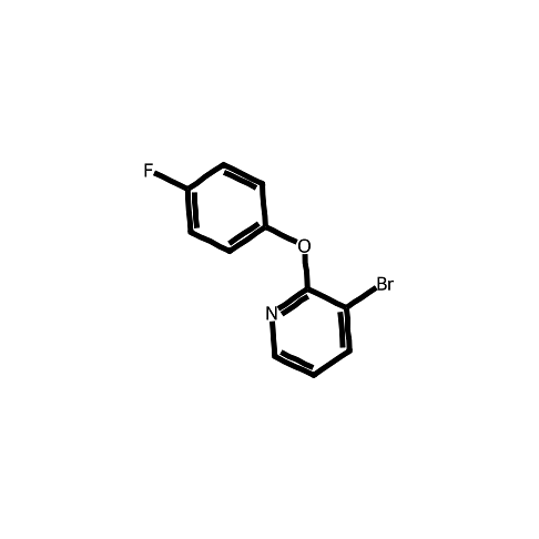 Fc1ccc(Oc2ncccc2Br)cc1